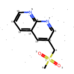 CS(=O)(=O)Cc1cnc2ncccc2c1